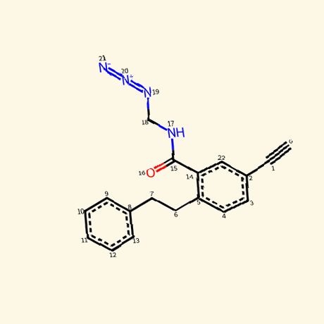 C#Cc1ccc(CCc2ccccc2)c(C(=O)NCN=[N+]=[N-])c1